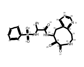 CC(C)C(NS(=O)(=O)c1ccccc1)C(=O)NC1Cc2cncnc2CCNC(=O)C1=O